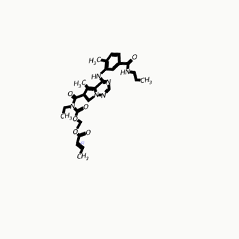 C/C=C/C(=O)OCOC(=O)N(CC)C(=O)C1CN2N=CN=C(Nc3cc(C(=O)NCCC)ccc3C)C2=C1C